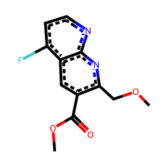 COCc1nc2nccc(F)c2cc1C(=O)OC